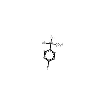 CC(C)[C@@](O)(C(=O)O)c1ccc(Cl)cc1